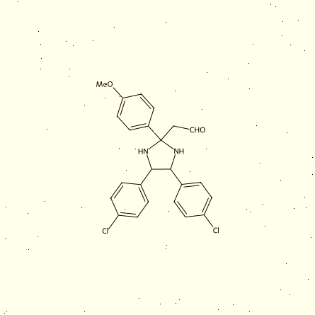 COc1ccc(C2(CC=O)NC(c3ccc(Cl)cc3)C(c3ccc(Cl)cc3)N2)cc1